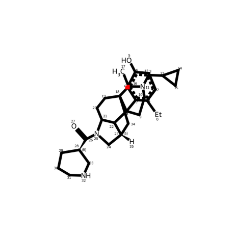 CCc1ccc(O)cc1C12CCN(CC3CC3)C(C)C13CCC1C2[C@@H](CN1C(=O)[C@@H]1CCCNC1)C3